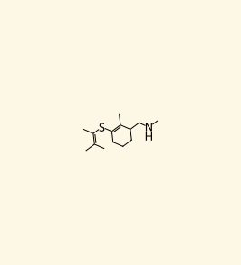 CNCC1CCCC(SC(C)=C(C)C)=C1C